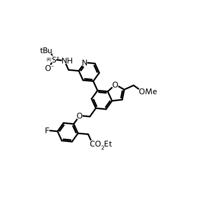 CCOC(=O)Cc1ccc(F)cc1OCc1cc(-c2ccnc(CN[S@@+]([O-])C(C)(C)C)c2)c2oc(COC)cc2c1